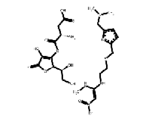 CNC(=C[N+](=O)[O-])NCCSCc1ccc(CN(C)C)o1.N[C@@H](CC(=O)O)C(=O)OC1=C(O)C(=O)O[C@@H]1[C@@H](O)CO